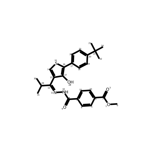 COC(=O)c1ccc(C(=O)NN=C(c2csc(-c3ccc(C(C)(C)C)cc3)c2O)C(C)C)cc1